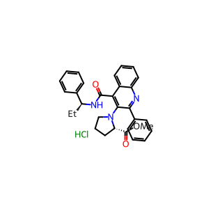 CC[C@H](NC(=O)c1c(N2CCC[C@H]2C(=O)OC)c(-c2ccccc2)nc2ccccc12)c1ccccc1.Cl